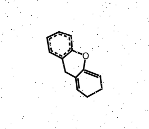 C1=C2Cc3ccccc3OC2=CCC1